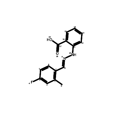 Cc1cc(F)ccc1C=NNc1ccccc1C(=O)O